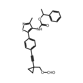 Cc1nsc(-c2ccc(C#CC3(COC=O)CC3)cc2)c1NC(=O)OC(C)c1ccccc1